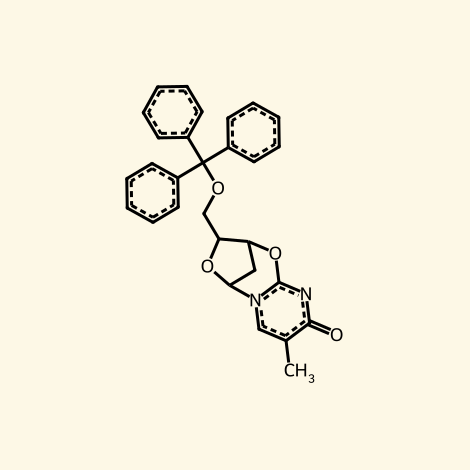 Cc1cn2c(nc1=O)OC1CC2OC1COC(c1ccccc1)(c1ccccc1)c1ccccc1